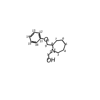 OCN1CCCCCC1COc1ccccc1